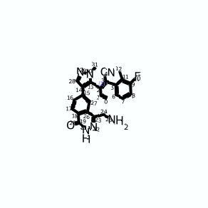 C=C/C(=C(/C#N)c1cccc(F)c1C)c1c(-c2ccc3c(=O)[nH]nc(CN)c3c2)cnn1C